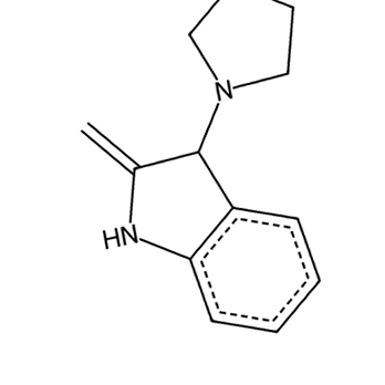 C=C1Nc2ccccc2C1N1CCCC1